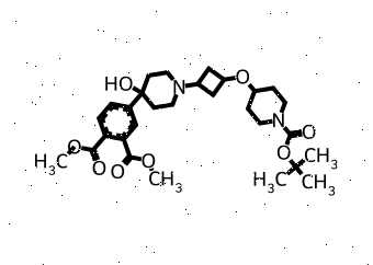 COC(=O)c1ccc(C2(O)CCN(C3CC(OC4CCN(C(=O)OC(C)(C)C)CC4)C3)CC2)cc1C(=O)OC